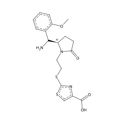 COc1ccccc1C(N)[C@H]1CCC(=O)N1CCSc1nc(C(=O)O)cs1